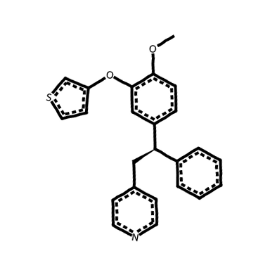 COc1ccc([C@H](Cc2ccncc2)c2ccccc2)cc1Oc1ccsc1